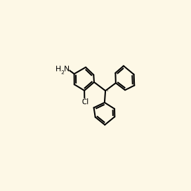 Nc1ccc([C](c2ccccc2)c2ccccc2)c(Cl)c1